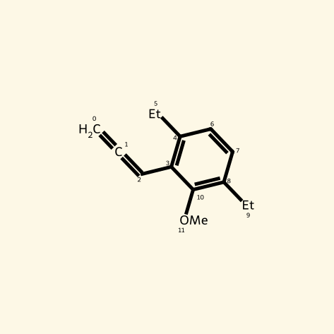 C=C=Cc1c(CC)ccc(CC)c1OC